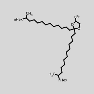 CCCCCCC(C)CCCCCCCCCCCC1(CCCCCCCCCCCC(C)CCCCCC)OCC(CCC)O1